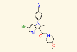 COC1CCN(CC(=O)c2c(C)n(-c3ccc(C#N)cc3)c3cc(Br)cnc23)CC1